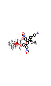 CCC1(CC)c2cc(-c3ccc(C#N)cc3)ccc2-c2c1c1c(c3cc(OC)c(N4CCOCC4)cc23)OC(c2ccc(OCCO[Si](OC(C)(C)C)(OC(C)(C)C)OC(C)(C)C)cc2)(c2ccc(N3CCOCC3)cc2)C=C1